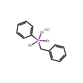 CCP(CC)(CC)(Cc1ccccc1)c1ccccc1.Cl